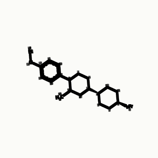 CCC[C@H]1CC[C@H](C2CCC(c3ccc(OCC)cc3)C(C)C2)CC1